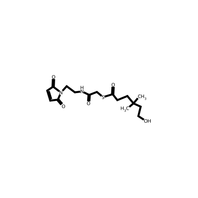 CC(C)(CCO)CCC(=O)SCC(=O)NCCN1C(=O)C=CC1=O